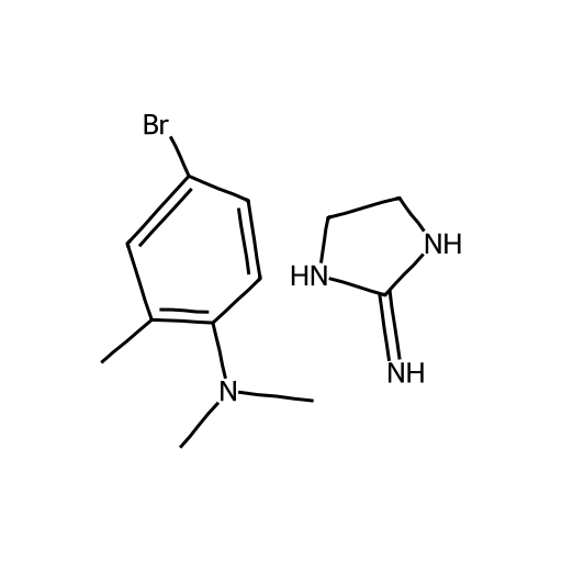 Cc1cc(Br)ccc1N(C)C.N=C1NCCN1